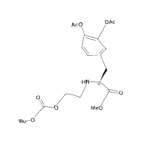 CCC(C)OC(=O)OCCN[C@@H](Cc1ccc(OC(C)=O)c(OC(C)=O)c1)C(=O)OC